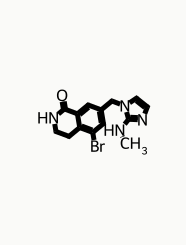 CNc1nccn1Cc1cc(Br)c2c(c1)C(=O)NCC2